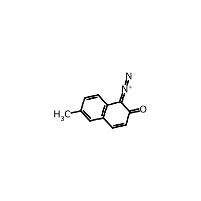 Cc1ccc2c(c1)C=CC(=O)C2=[N+]=[N-]